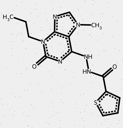 CCCn1c(=O)nc(NNC(=O)c2cccs2)c2c1ncn2C